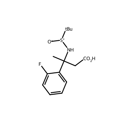 CC(CC(=O)O)(N[S+]([O-])C(C)(C)C)c1ccccc1F